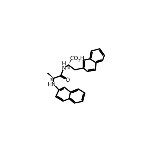 C[C@H](Nc1ccc2ccccc2c1)C(=O)N[C@@H](Cc1ccc2ccccc2c1)C(=O)O